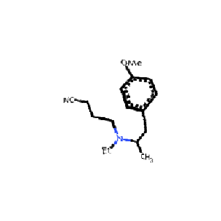 CCN(CCCC#N)C(C)Cc1ccc(OC)cc1